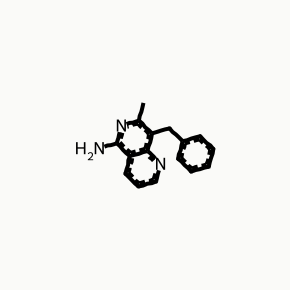 Cc1nc(N)c2cccnc2c1Cc1ccccc1